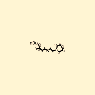 CCCCOC(C)CCSCCN1CCOCC1